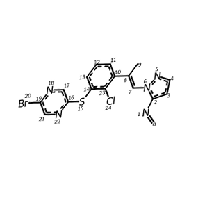 C=Nc1ccnn1/C=C(\C)c1cccc(Sc2cnc(Br)cn2)c1Cl